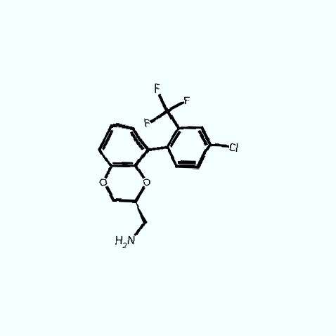 NC[C@H]1COc2cccc(-c3ccc(Cl)cc3C(F)(F)F)c2O1